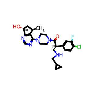 CC1C[C@@H](O)c2ncnc(N3CCN(C(=O)[C@H](CNCC4CC4)c4ccc(Cl)c(F)c4)CC3)c21